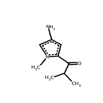 CC(C)C(=O)c1cc(N)cn1C